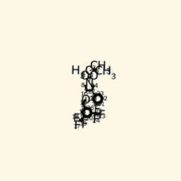 CC(C)(C)OC(=O)N1C[C@@H](COCc2cc(C(F)(F)F)cc(C(F)(F)F)c2)[C@H](c2ccccc2)C1